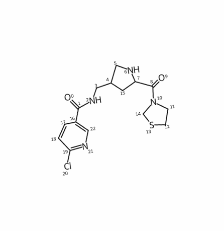 O=C(NCC1CNC(C(=O)N2CCSC2)C1)c1ccc(Cl)nc1